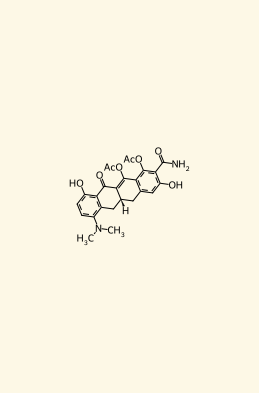 CC(=O)OC1=C2C(=O)c3c(O)ccc(N(C)C)c3C[C@H]2Cc2cc(O)c(C(N)=O)c(OC(C)=O)c21